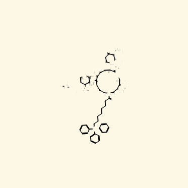 CC[C@H]1OC(=O)[C@H](C)[C@@H](O[C@H]2C[C@@](C)(OC)[C@@H](O)[C@H](C)O2)[C@H](C)[C@@H](O[C@@H]2O[C@H](C)C[C@H](N(C)C)[C@H]2O)[C@](C)(O)C[C@@H](C)CN(C(=O)CCCCCCC[P+](c2ccccc2)(c2ccccc2)c2ccccc2)[C@H](C)[C@@H](O)[C@]1(C)O.F[P-](F)(F)(F)(F)F